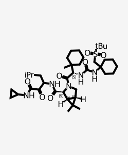 CC(C)CC(NC(=O)[C@@H]1[C@@H]2[C@H](CN1C(=O)[C@@H](NC(=O)NC1(CS(=O)(=O)C(C)(C)C)CCCCC1)C1(C)CCCCC1)C2(C)C)C(=O)C(=O)NC1CC1